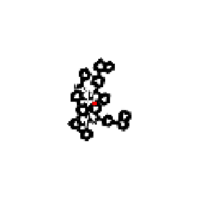 c1ccc(-c2nc3ccc4c5cc(-c6cccc7c8ccccc8n(-c8nc(-c9ccc(-c%10cccc%11ccccc%10%11)cc9)c9ccccc9n8)c67)ccc5n(-c5nc(-c6ccc(-c7cccc8ccccc78)cc6)c6ccccc6n5)c4c3s2)cc1